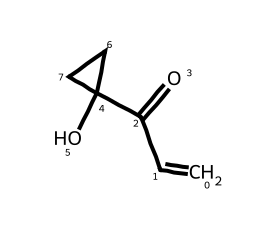 C=CC(=O)C1(O)CC1